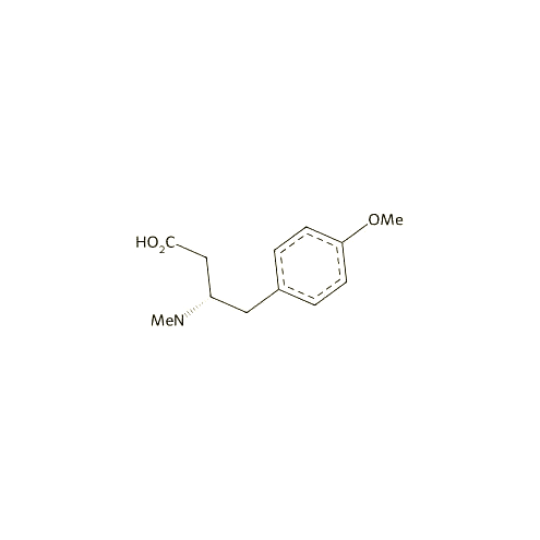 CN[C@H](CC(=O)O)Cc1ccc(OC)cc1